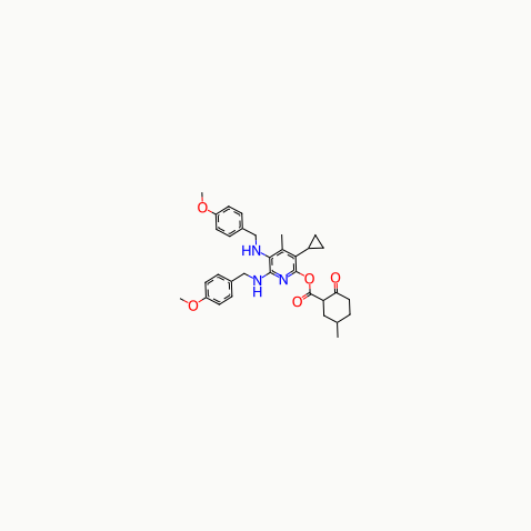 COc1ccc(CNc2nc(OC(=O)C3CC(C)CCC3=O)c(C3CC3)c(C)c2NCc2ccc(OC)cc2)cc1